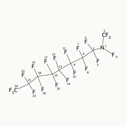 FN(C(F)(F)F)C(F)(F)C(F)(F)C(F)(F)C(F)(F)C(F)(F)C(F)(F)C(F)(F)C(F)(F)F